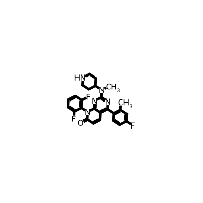 Cc1cc(F)ccc1-c1nc(N(C)C2CCNCC2)nc2c1ccc(=O)n2-c1c(F)cccc1F